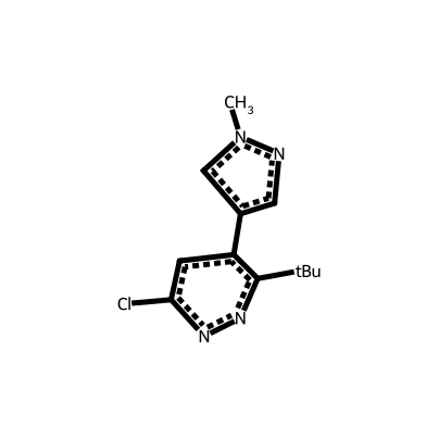 Cn1cc(-c2cc(Cl)nnc2C(C)(C)C)cn1